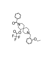 CCOc1ccccc1CN1CCC2(CC1)CCN(C(=O)c1ccccc1)CC2OC(=O)C(F)(F)F